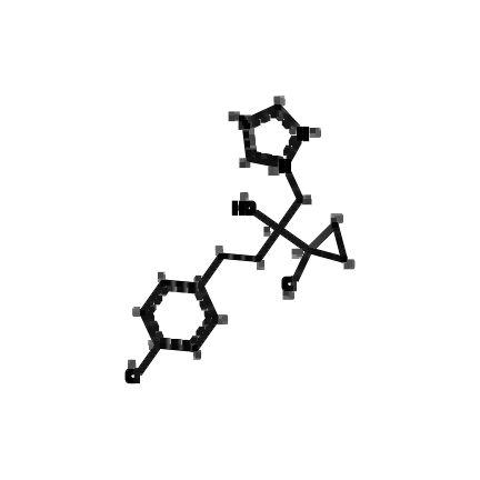 OC(CCc1ccc(Cl)cc1)(Cn1cncn1)C1(Cl)CC1